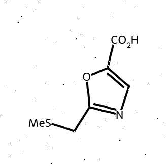 CSCc1ncc(C(=O)O)o1